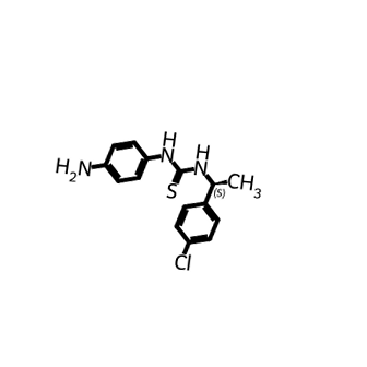 C[C@H](NC(=S)Nc1ccc(N)cc1)c1ccc(Cl)cc1